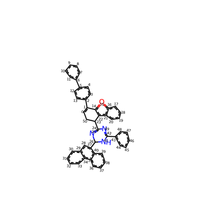 C1=C(c2ccc(-c3ccccc3)cc2)c2oc3ccccc3c2C(C2=NC(c3cc4ccccc4c4ccccc34)NC(c3ccccc3)=N2)C1